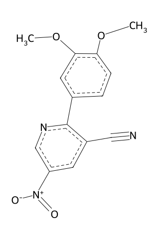 COc1ccc(-c2ncc([N+](=O)[O-])cc2C#N)cc1OC